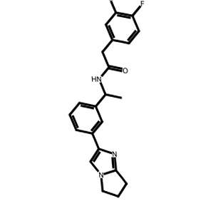 CC(NC(=O)Cc1ccc(F)c(Cl)c1)c1cccc(-c2cn3c(n2)CCC3)c1